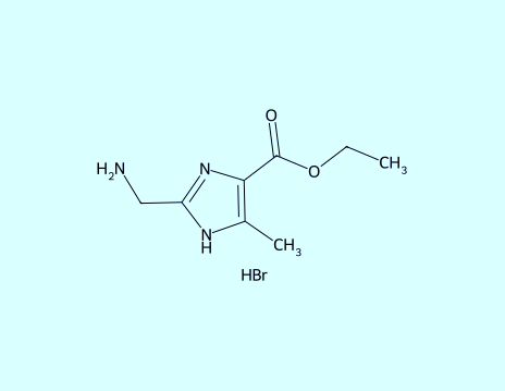 Br.CCOC(=O)c1nc(CN)[nH]c1C